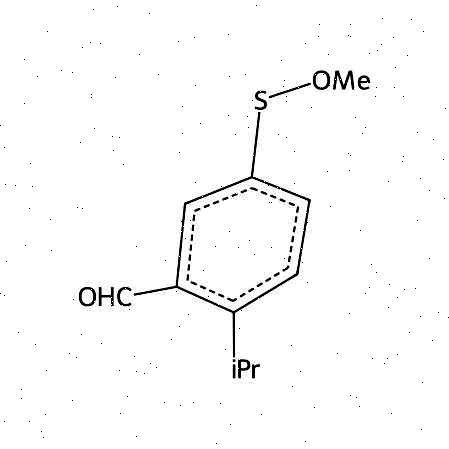 COSc1ccc(C(C)C)c(C=O)c1